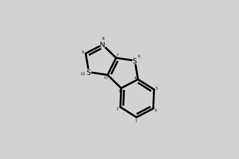 c1ccc2c(c1)sc1ncsc12